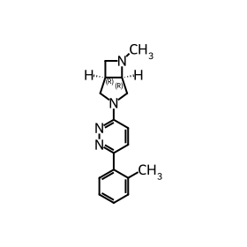 Cc1ccccc1-c1ccc(N2C[C@H]3CN(C)[C@H]3C2)nn1